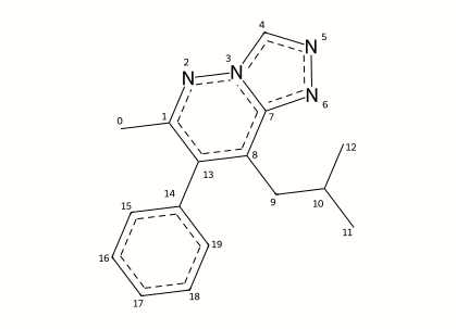 Cc1nn2cnnc2c(CC(C)C)c1-c1ccccc1